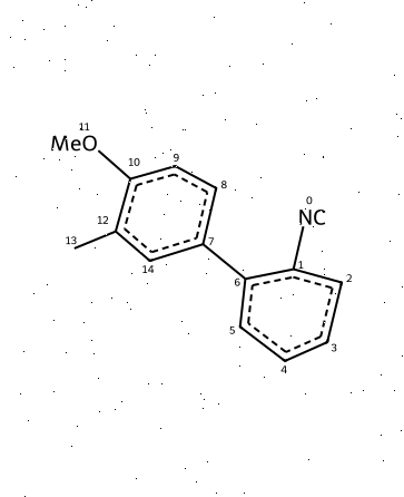 [C-]#[N+]c1ccccc1-c1ccc(OC)c(C)c1